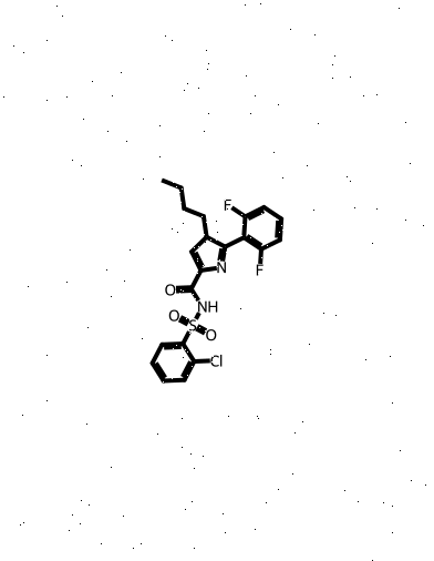 CCCCC1C=C(C(=O)NS(=O)(=O)c2ccccc2Cl)N=C1c1c(F)cccc1F